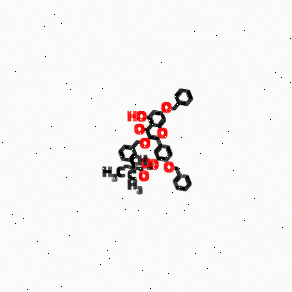 CCC(C)(C)C(=O)OOc1cc(-c2oc3cc(OCc4ccccc4)cc(O)c3c(=O)c2OCc2ccccc2)ccc1OCc1ccccc1